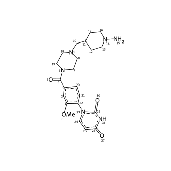 COc1cc(C(=O)N2CCN(CC3CCN(N)CC3)CC2)ccc1-n1ccc(=O)[nH]c1=O